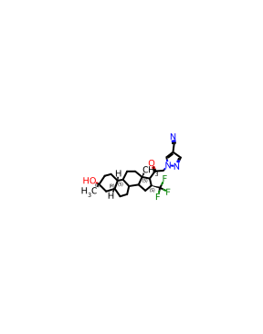 C[C@@]1(O)CC[C@@H]2C3CC[C@@]4(C)C(C[C@H](C(F)(F)F)C4C(=O)Cn4cc(C#N)cn4)C3CC[C@@H]2C1